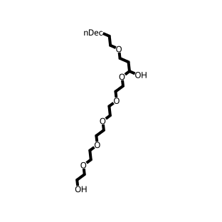 CCCCCCCCCCCCOCCC(O)OCCOCCOCCOCCOCCO